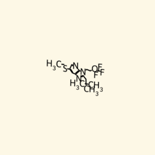 CCSc1cnc2c(c1)nc(CC(C)(C)C)n2CCOC(F)(F)F